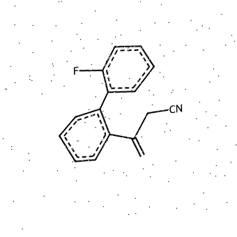 C=C(CC#N)c1ccccc1-c1ccccc1F